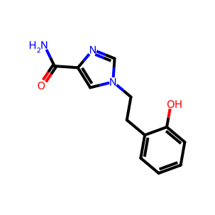 NC(=O)c1cn(CCc2ccccc2O)cn1